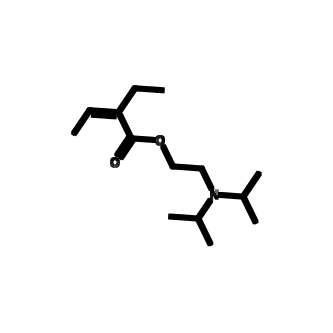 CC=C(CC)C(=O)OCCN(C(C)C)C(C)C